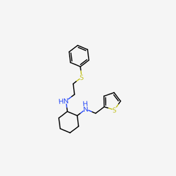 c1ccc(SCCNC2CCCCC2NCc2cccs2)cc1